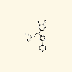 CN(C)CCC(c1ccc(Cl)c(Cl)c1)n1nnc(-c2ccccc2)n1